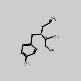 C=CCN(Cc1ccc(C)cc1)C(C)CC